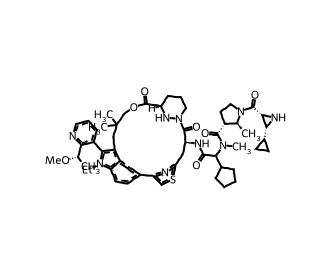 CCn1c(-c2cccnc2[C@H](C)OC)c2c3cc(ccc31)-c1csc(n1)C[C@H](NC(=O)C(C1CCCC1)N(C)C(=O)[C@@H]1CCN(C(=O)[C@@H]3N[C@@H]3C3CC3)[C@H]1C)C(=O)N1CCC[C@H](N1)C(=O)OCC(C)(C)C2